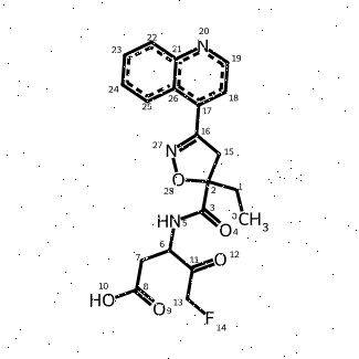 CCC1(C(=O)NC(CC(=O)O)C(=O)CF)CC(c2ccnc3ccccc23)=NO1